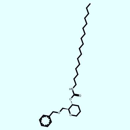 CCCCCCCCCCCCCCCCCNC(=O)O[C@@H]1CCCO[C@H]1COCc1ccccc1